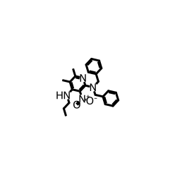 CCCNc1c(C)c(C)nc(N(Cc2ccccc2)Cc2ccccc2)c1[N+](=O)[O-]